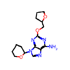 Nc1nc(OCC2CCCO2)nc2c1ncn2C1CCCCO1